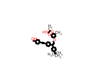 Cc1cc(OCC=C(c2ccc(C#Cc3ccc(CO)cc3)cc2)c2ccc(C(C)(C)C)cc2)ccc1OC(C)C(=O)O